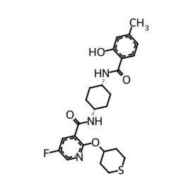 Cc1ccc(C(=O)N[C@H]2CC[C@@H](NC(=O)c3cc(F)cnc3OC3CCSCC3)CC2)c(O)c1